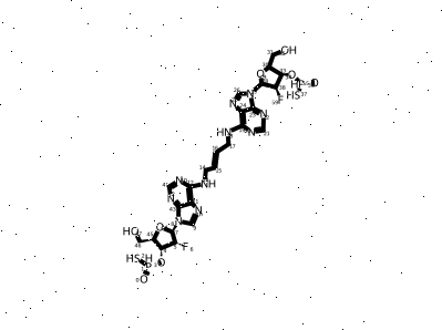 O=[PH](S)O[C@H]1[C@@H](F)[C@H](n2cnc3c(NC/C=C/CNc4ncnc5c4ncn5C4OC(CO)[C@@H](O[PH](=O)S)[C@H]4F)ncnc32)O[C@@H]1CO